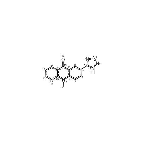 Cn1c2ccc(-c3nnn[nH]3)cc2c(=O)c2cccnc21